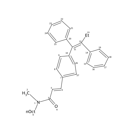 CCCCCCCCN(C)C(=O)C=Cc1ccc(C(=C(CC)c2ccccc2)c2ccccc2)cc1